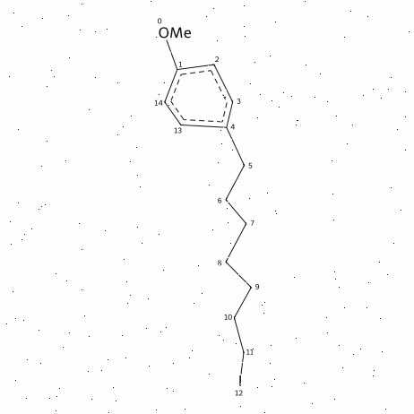 COc1ccc(CCCCCCCI)cc1